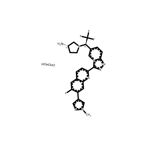 Cl.Cl.Cl.Cn1cc(-c2cc3nc(-c4nnc5ccc([C@@H](N6CC[C@H](N)C6)C(F)(F)F)cn45)ccc3cc2F)cn1